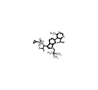 Cc1ncnc(C(F)F)c1-c1ccc2c(C(NS(=O)(=O)C3CC3)C(F)F)cn(CC(C)(C)C)c2c1